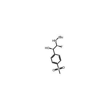 CC(C)(C)N[C@@H](F)[C@H](O)c1ccc(S(C)(=O)=O)cc1